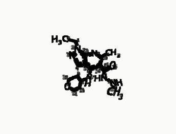 CCn1ncc2c(NC3CCOCC3)c(C(=O)NNC)c(C)nc21